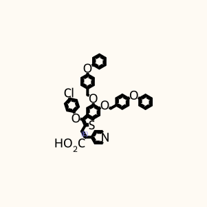 O=C(O)/C(=C/c1sc2cc(OCc3ccc(Oc4ccccc4)cc3)c(OCc3ccc(Oc4ccccc4)cc3)cc2c1Oc1ccc(Cl)cc1)c1ccncc1